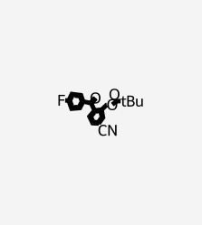 CC(C)(C)C(=O)OCc1cc(C#N)ccc1C(=O)c1ccc(F)cc1